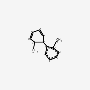 Cc1ccccc1C1C=CC=CC1C